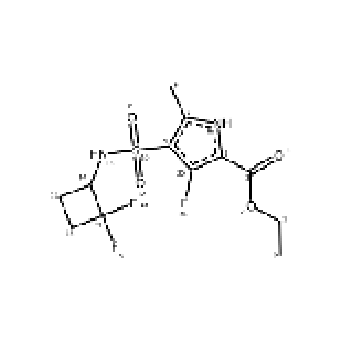 CCOC(=O)c1[nH]c(C)c(S(=O)(=O)NC2CCC2(F)F)c1F